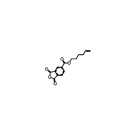 C=CCCCCOC(=O)c1ccc2c(c1)C(=O)OC2=O